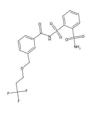 NS(=O)(=O)c1ccccc1S(=O)(=O)NC(=O)c1cccc(COCCC(F)(F)F)c1